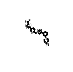 CCN1CCN(c2cccc(-c3cn(Cc4ccc(-c5nnc(C(F)F)o5)cn4)nn3)c2)CC1